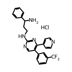 Cl.NC(CCNc1ncc(-c2cccc(C(F)(F)F)c2)c(-c2ccncc2)n1)c1ccccc1